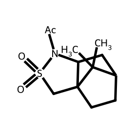 CC(=O)N1C2CC3CCC2(CS1(=O)=O)C3(C)C